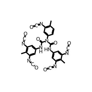 Cc1ccc(N(C(=O)Nc2cc(N=C=O)c(C)c(N=C=O)c2)C(=O)Nc2cc(N=C=O)c(C)c(N=C=O)c2)cc1N=C=O